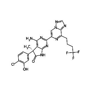 C[C@@]1(c2ccc(Cl)c(O)c2)C(=O)Nc2nc(-c3cn4ncnc4c(CCCC(F)(F)F)n3)nc(N)c21